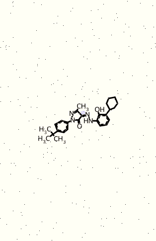 CC1=NN(c2ccc(C(C)(C)C)cc2)C(=O)/C1=N\Nc1cccc(C2CCCCC2)c1O